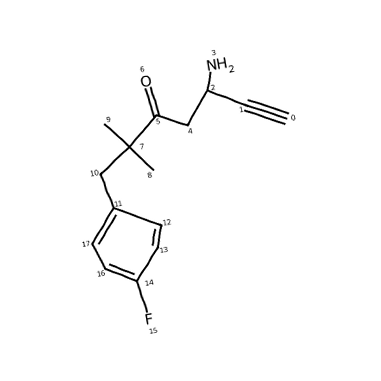 C#CC(N)CC(=O)C(C)(C)Cc1ccc(F)cc1